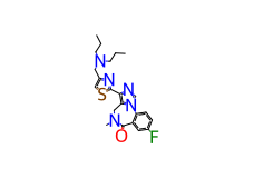 CCCN(CCC)Cc1csc(-c2ncn3c2CN(C)C(=O)c2cc(F)ccc2-3)n1